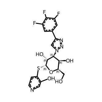 OC[C@H]1O[C@H](Sc2ccncc2O)[C@H](O)[C@@H](n2cc(-c3cc(F)c(F)c(F)c3)nn2)[C@H]1O